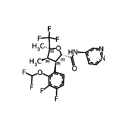 C[C@@H]1[C@H](c2ccc(F)c(F)c2OC(F)F)[C@@H](C(=O)Nc2ccnnc2)O[C@]1(C)C(F)(F)F